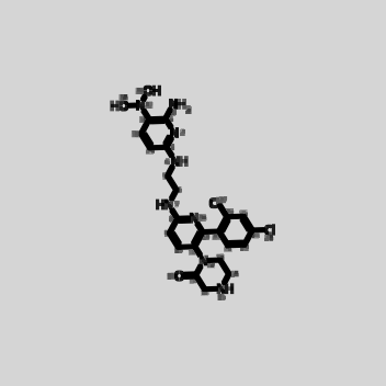 Nc1nc(NCCNc2ccc(N3CCNCC3=O)c(-c3ccc(Cl)cc3Cl)n2)ccc1N(O)O